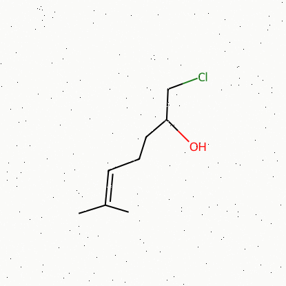 CC(C)=CCCC(O)CCl